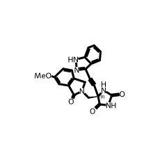 COc1ccc2c(c1)C(=O)N(C[C@@]1(C#Cc3n[nH]c4ccccc34)NC(=O)NC1=O)C2